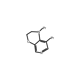 CC(C)c1cncc2c1N(C(C)C)CCO2